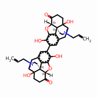 C=CCN1CC[C@]23c4c5cc(-c6cc7c8c(c6O)O[C@@H]6C(=O)CCC9(O)C(C7)N(CC=C)CC[C@]869)c(O)c4O[C@@H]2C(=O)CCC3(O)C1C5